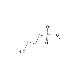 CCCOP(=O)(O)OI